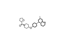 Cc1cc(-c2ccc(OC3CCN(C(=O)C4CCCO4)CC3)cc2)c2cccnc2c1